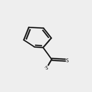 [S]C(=S)c1ccccc1